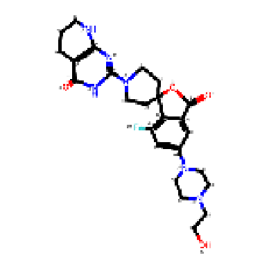 O=C1OC2(CCN(c3nc4c(c(=O)[nH]3)CCCN4)CC2)c2c(F)cc(N3CCN(CCO)CC3)cc21